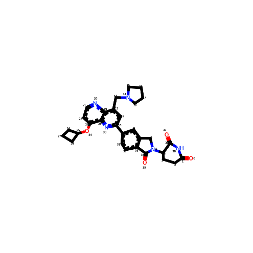 O=C1CCC(N2Cc3cc(-c4cc(CN5CCCC5)c5nccc(OC6CCC6)c5n4)ccc3C2=O)C(=O)N1